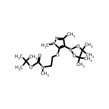 Cc1nn(C)c(OCCN(C)C(=O)OC(C)(C)C)c1B1OC(C)(C)C(C)(C)O1